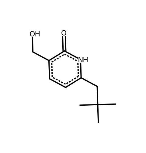 CC(C)(C)Cc1ccc(CO)c(=O)[nH]1